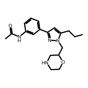 CCCc1cc(-c2cccc(NC(C)=O)c2)nn1CC1CNCCO1